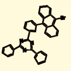 Brc1c2ccccc2c(-c2cccc(-c3nc(-c4ccccc4)nc(-c4ccccc4)n3)c2)c2ccccc12